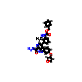 Cc1c(NC(=O)OCc2ccccc2)cccc1-c1cnc(C(N)=O)c2[nH]c3cc(OC4CCOC4)ccc3c12